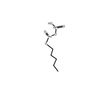 CCCCCO[PH](=O)O[PH](=O)O